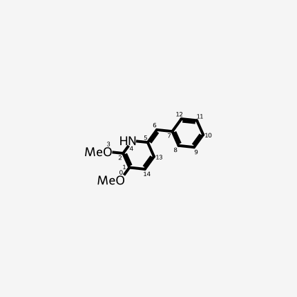 COC1=C(OC)NC(=Cc2ccccc2)C=C1